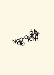 C[C@H]1N[C@H](C(=O)N[C@H](C#N)Cc2ccc(-c3ccc(C#N)c(S(C)(=O)=O)c3)cc2F)[C@@H]2CC21